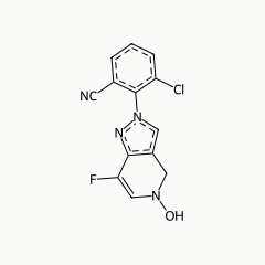 N#Cc1cccc(Cl)c1-n1cc2c(n1)C(F)=CN(O)C2